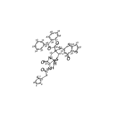 O=C(Cc1cccs1)NC1C(=O)N2CC(Sc3cc(=O)c4sccc4s3)(C(=O)OC(c3ccccc3)c3ccccc3)CS[C@H]12